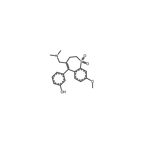 COc1ccc2c(c1)S(=O)(=O)CCC(CN(C)C)=C2c1cccc(O)c1